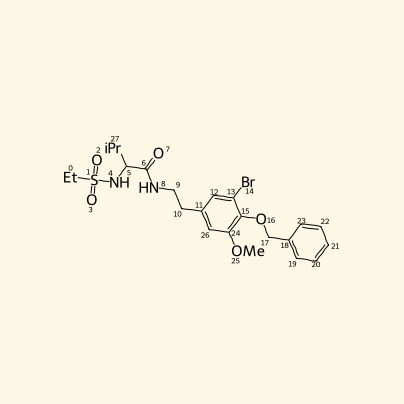 CCS(=O)(=O)NC(C(=O)NCCc1cc(Br)c(OCc2ccccc2)c(OC)c1)C(C)C